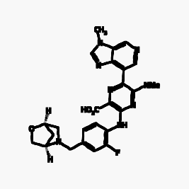 CNc1nc(Nc2ccc(CN3C[C@H]4C[C@@H]3CO4)cc2F)c(C(=O)O)nc1-c1cncc2c1ncn2C